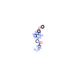 N=C(c1ccc(Oc2ccccc2)cc1)c1c(N)ncnc1N[C@@H]1CCCN(C(=O)c2cnc(N)nc2)C1